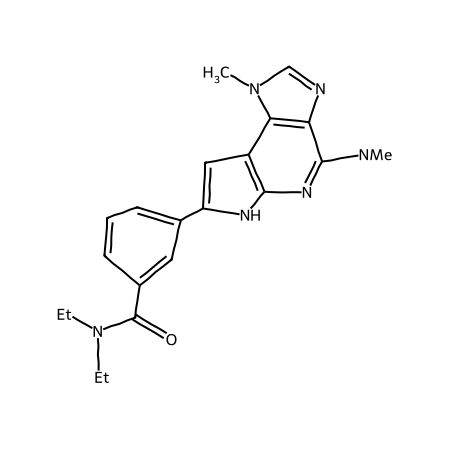 CCN(CC)C(=O)c1cccc(-c2cc3c(nc(NC)c4ncn(C)c43)[nH]2)c1